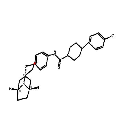 CC(C)CCN1[C@@H]2CC[C@H]1C[C@@H](Oc1ccc(NC(=O)N3CCC(c4ccc(Cl)cc4)CC3)cc1)C2